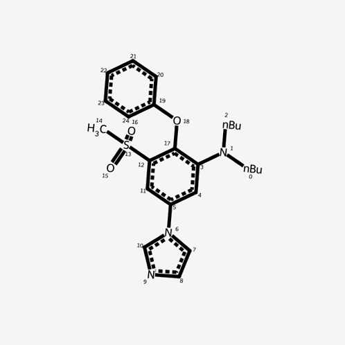 CCCCN(CCCC)c1cc(-n2ccnc2)cc(S(C)(=O)=O)c1Oc1ccccc1